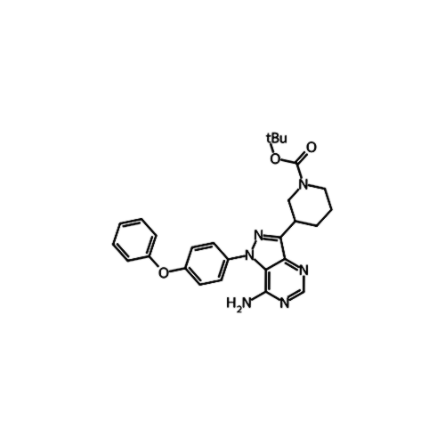 CC(C)(C)OC(=O)N1CCCC(c2nn(-c3ccc(Oc4ccccc4)cc3)c3c(N)ncnc23)C1